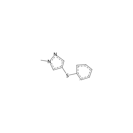 Cn1cc(Sc2[c]cccc2)cn1